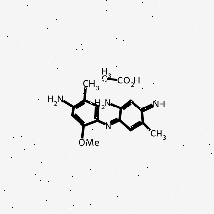 CC(=O)O.COc1cc(N)c(C)cc1N=C1C=C(C)C(=N)C=C1N